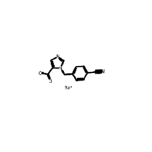 N#Cc1ccc(Cn2cncc2C(=O)[O-])cc1.[Na+]